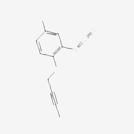 CC#CCOc1ccc(C=O)cc1N=[N+]=[N-]